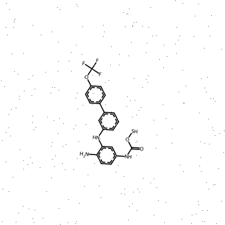 Nc1ccc(NC(=O)OS)cc1Nc1cccc(-c2ccc(OC(F)(F)F)cc2)c1